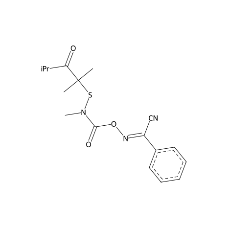 CC(C)C(=O)C(C)(C)SN(C)C(=O)ON=C(C#N)c1ccccc1